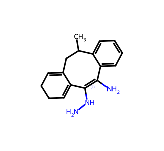 CC1CC2=CCCC=C2/C(NN)=C(/N)c2ccccc21